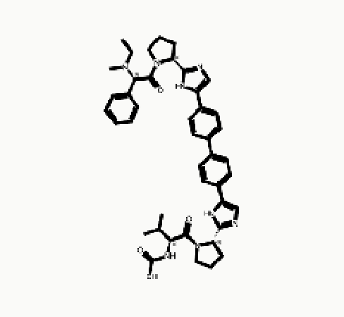 CCN(C)[C@@H](C(=O)N1CCC[C@H]1c1ncc(-c2ccc(-c3ccc(-c4cnc([C@@H]5CCCN5C(=O)[C@@H](NC(=O)O)C(C)C)[nH]4)cc3)cc2)[nH]1)c1ccccc1